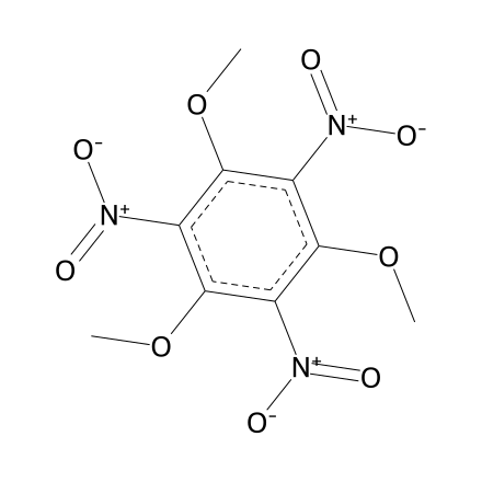 COc1c([N+](=O)[O-])c(OC)c([N+](=O)[O-])c(OC)c1[N+](=O)[O-]